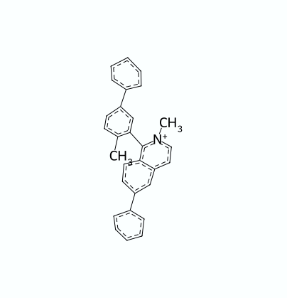 Cc1ccc(-c2ccccc2)cc1-c1c2ccc(-c3ccccc3)cc2cc[n+]1C